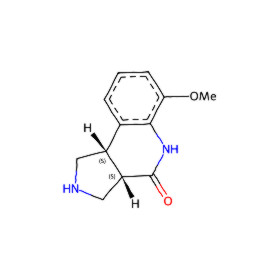 COc1cccc2c1NC(=O)[C@@H]1CNC[C@H]21